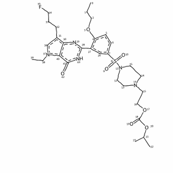 CCCOc1ccc(S(=O)(=O)N2CCN(CCOC(=O)OC(C)C)CC2)cc1-c1nc2c(CCCF)cn(CC)c2c(=O)[nH]1